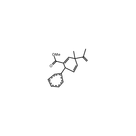 C=C(C)C1(C)C=CC(c2ccccc2)C(C(=O)OC)=C1